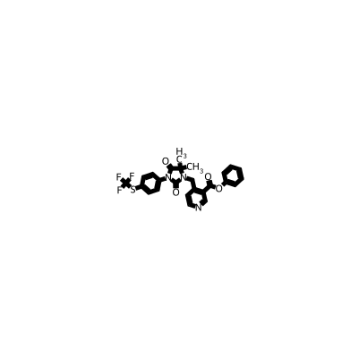 CC1(C)C(=O)N(c2ccc(SC(F)(F)F)cc2)C(=O)N1Cc1ccncc1C(=O)Oc1ccccc1